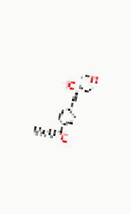 COC(=O)c1ccc(C#CC2(O)CCOCC2)cc1